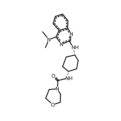 CN(C)c1nc(N[C@H]2CC[C@@H](NC(=O)N3CCOCC3)CC2)nc2ccccc12